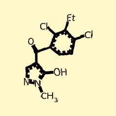 CCc1c(Cl)ccc(C(=O)c2cnn(C)c2O)c1Cl